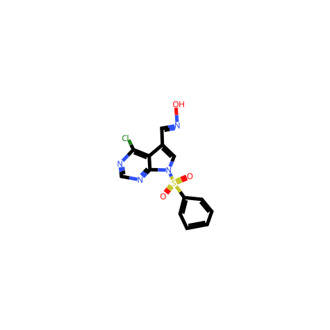 O=S(=O)(c1ccccc1)n1cc(C=NO)c2c(Cl)ncnc21